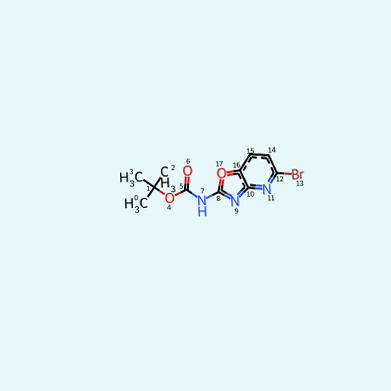 CC(C)(C)OC(=O)Nc1nc2nc(Br)ccc2o1